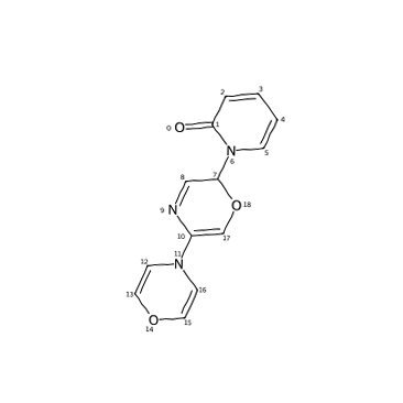 O=c1ccccn1C1C=NC(N2C=COC=C2)=CO1